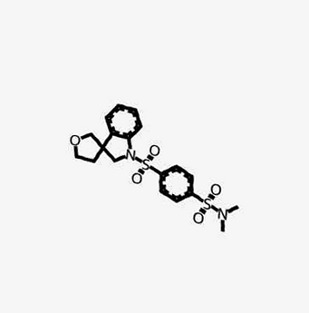 CN(C)S(=O)(=O)c1ccc(S(=O)(=O)N2CC3(CCOC3)c3ccccc32)cc1